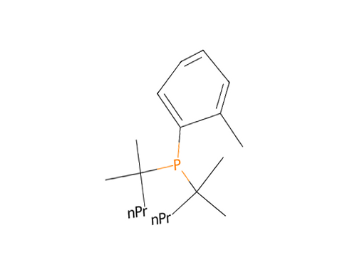 CCCC(C)(C)P(c1ccccc1C)C(C)(C)CCC